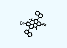 C=c1c2cc(Br)cc3c(-c4cccc5ccccc45)cc4c(c32)c2c1cc(-c1cccc3ccccc13)c1cc(Br)cc(c12)C4(C)C